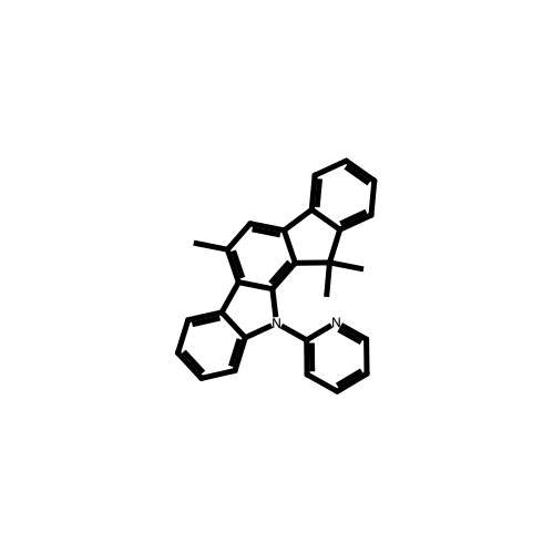 Cc1cc2c(c3c1c1ccccc1n3-c1ccccn1)C(C)(C)c1ccccc1-2